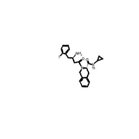 N[C@@H](CC(=O)N1Cc2ccccc2C[C@H]1C(=O)NC1CC1)Cc1ccccc1F